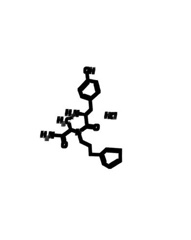 C[C@H](C(N)=O)N(CCCc1ccccc1)C(=O)[C@@H](N)Cc1ccc(O)cc1.Cl